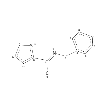 ClC(=NCc1ccccc1)c1cccs1